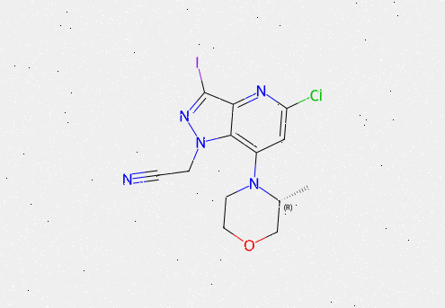 C[C@@H]1COCCN1c1cc(Cl)nc2c(I)nn(CC#N)c12